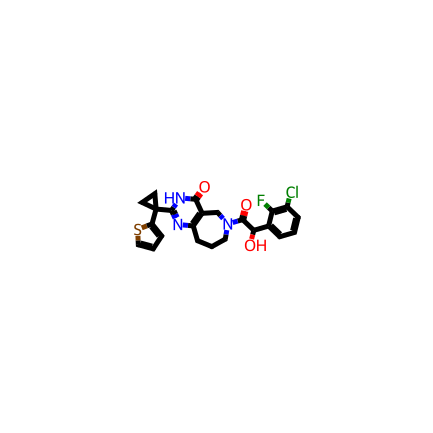 O=C(C(O)c1cccc(Cl)c1F)N1CCCc2nc(C3(c4cccs4)CC3)[nH]c(=O)c2C1